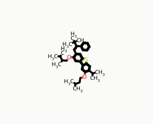 CC(C)CCOc1cc2c(cc1C(C)C)sc1cc(C=C(c3ccccc3)C(C)(C)C)c(OCC(C)C(C)C)cc12